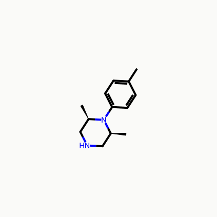 Cc1ccc(N2[C@H](C)CNC[C@@H]2C)cc1